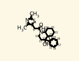 Cc1nc(C)c(CC(=O)N2CCC(O)(c3ccccc3)[C@H]3CCCC[C@@H]32)s1